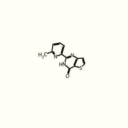 Cc1cccc(-c2nc3ccsc3c(=O)[nH]2)n1